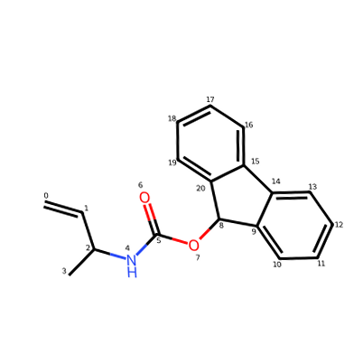 C=CC(C)NC(=O)OC1c2ccccc2-c2ccccc21